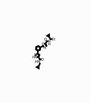 CCC(NC(=O)c1cnc(-c2cccc(-c3cc(C(=O)NCC4CC4)[nH]n3)c2)o1)C1CC1